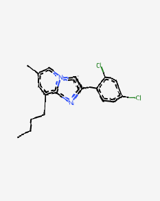 CCCCc1cc(C)cn2[c]c(-c3ccc(Cl)cc3Cl)nc12